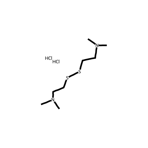 CN(C)CCSSCCN(C)C.Cl.Cl